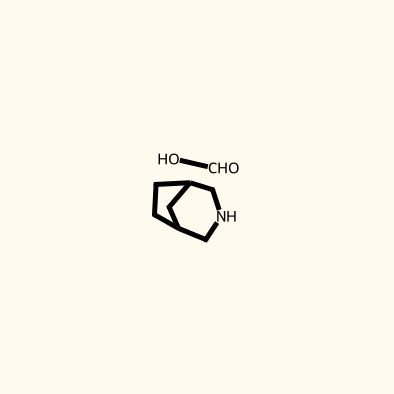 C1CC2CNCC1C2.O=CO